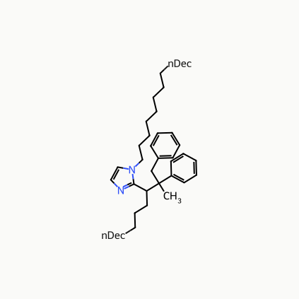 CCCCCCCCCCCCCCCCCCn1ccnc1C(CCCCCCCCCCCCC)C(C)(Cc1ccccc1)c1ccccc1